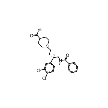 CCC(=O)C1CCN(CC[C@H](CN(C)C(=O)c2ccccc2)c2ccc(Cl)c(Cl)c2)CC1